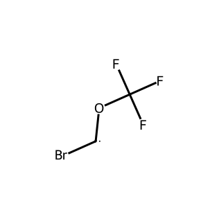 FC(F)(F)O[CH]Br